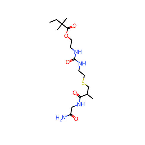 CCC(C)(C)C(=O)OCCNC(=O)NCCSCC(C)C(=O)NCC(N)=O